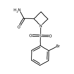 NC(=O)C1CCN1S(=O)(=O)c1ccccc1Br